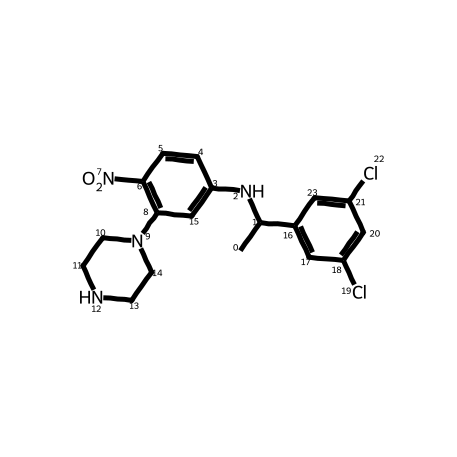 CC(Nc1ccc([N+](=O)[O-])c(N2CCNCC2)c1)c1cc(Cl)cc(Cl)c1